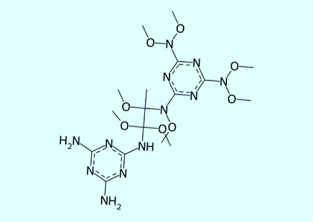 CON(OC)c1nc(N(OC)OC)nc(N(OC)C(C)(OC)C(Nc2nc(N)nc(N)n2)(OC)OC)n1